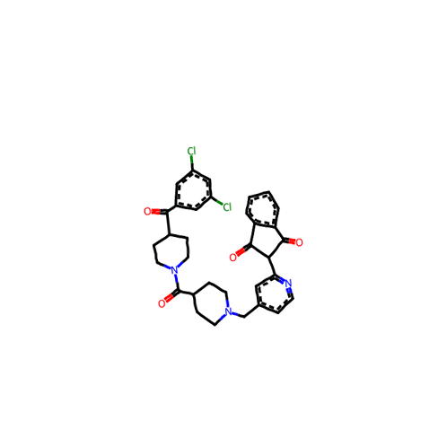 O=C(c1cc(Cl)cc(Cl)c1)C1CCN(C(=O)C2CCN(Cc3ccnc(C4C(=O)c5ccccc5C4=O)c3)CC2)CC1